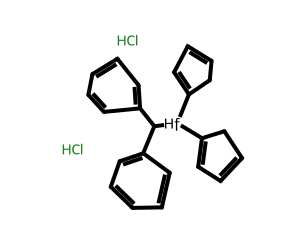 C1=CC[C]([Hf]([C]2=CC=CC2)[CH](c2ccccc2)c2ccccc2)=C1.Cl.Cl